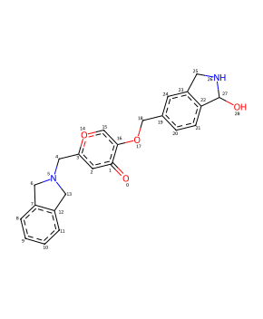 O=c1cc(CN2Cc3ccccc3C2)occ1OCc1ccc2c(c1)CNC2O